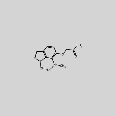 CC(=O)COc1ccc2c(c1N(C)C)B(O)OC2